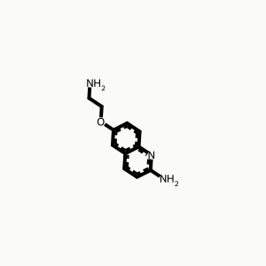 NCCOc1ccc2nc(N)ccc2c1